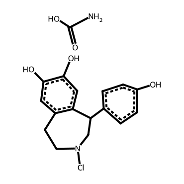 NC(=O)O.Oc1ccc(C2CN(Cl)CCc3cc(O)c(O)cc32)cc1